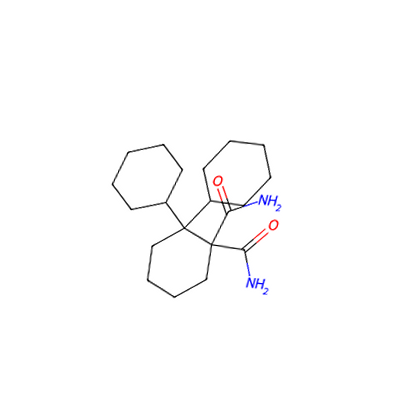 NC(=O)C1(C(N)=O)CCCCC1(C1CCCCC1)C1CCCCC1